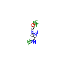 FC(F)C(F)(F)Oc1ccc(CNc2cccc3c(-c4cnn(CC(F)(F)F)c4)ccnc23)cc1